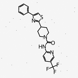 O=C(Nc1ccc(C(F)(F)F)cn1)N1CCC(c2nc(-c3ccccc3)cs2)CC1